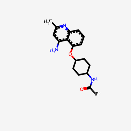 Cc1cc(N)c2c(OC3CCC(NC(=O)C(C)C)CC3)cccc2n1